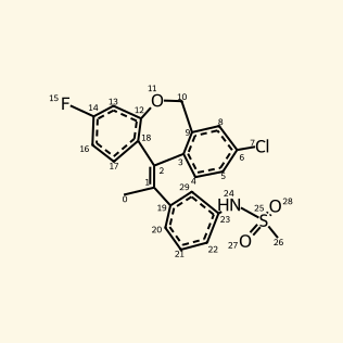 C/C(=C1/c2ccc(Cl)cc2COc2cc(F)ccc21)c1cccc(NS(C)(=O)=O)c1